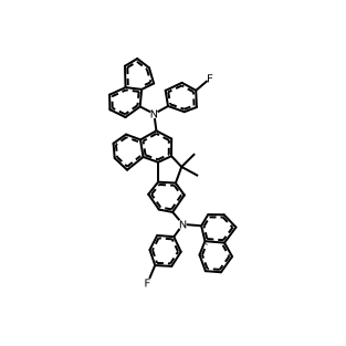 CC1(C)c2cc(N(c3ccc(F)cc3)c3cccc4ccccc34)ccc2-c2c1cc(N(c1ccc(F)cc1)c1cccc3ccccc13)c1ccccc21